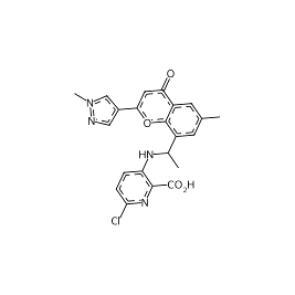 Cc1cc(C(C)Nc2ccc(Cl)nc2C(=O)O)c2oc(-c3cnn(C)c3)cc(=O)c2c1